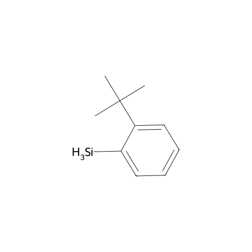 CC(C)(C)c1ccccc1[SiH3]